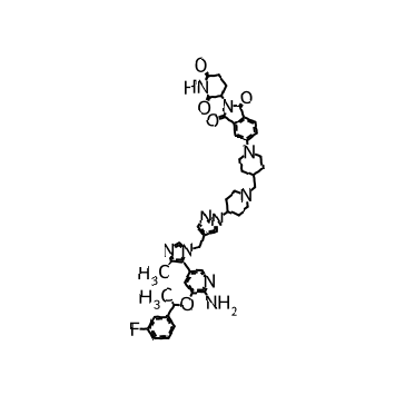 Cc1ncn(Cc2cnn(C3CCN(CC4CCN(c5ccc6c(c5)C(=O)N(C5CCC(=O)NC5=O)C6=O)CC4)CC3)c2)c1-c1cnc(N)c(O[C@H](C)c2cccc(F)c2)c1